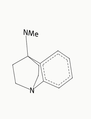 CNC12CCN(CC1)c1ccccc12